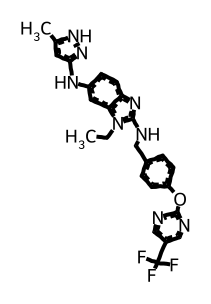 CCn1c(NCc2ccc(Oc3ncc(C(F)(F)F)cn3)cc2)nc2ccc(Nc3cc(C)[nH]n3)cc21